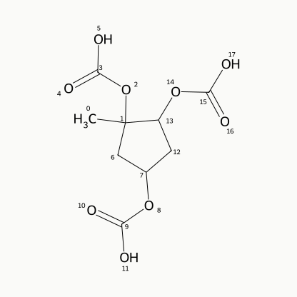 CC1(OC(=O)O)CC(OC(=O)O)CC1OC(=O)O